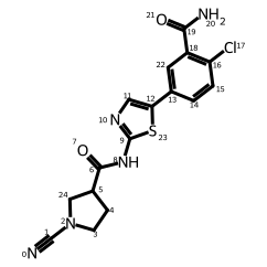 N#CN1CCC(C(=O)Nc2ncc(-c3ccc(Cl)c(C(N)=O)c3)s2)C1